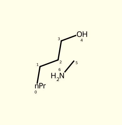 CCCCCCO.CN